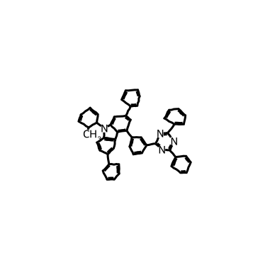 CC1C=CC=CC1n1c2ccc(-c3ccccc3)cc2c2c(-c3cccc(-c4nc(-c5ccccc5)nc(-c5ccccc5)n4)c3)cc(-c3ccccc3)cc21